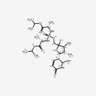 CC(C)OC(=O)[C@H](C)NP(=O)(N[C@@H](C)C(=O)OC(C)C)OCC1(F)O[C@@H](N2C=CC(=O)NC2O)[C@@H](C)[C@@H]1O